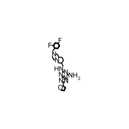 Nc1nc(NCC2CCC3CN(Cc4ccc(F)cc4F)CCN3C2)nc2nc(-c3ccco3)nn12